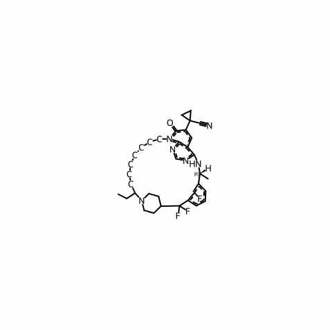 CCC1CCCCCCCn2c(=O)c(C3(C#N)CC3)cc3c(ncnc32)N[C@H](C)c2cccc(c2F)C(F)(F)C2CCN1CC2